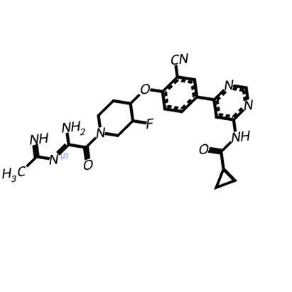 CC(=N)/N=C(\N)C(=O)N1CCC(Oc2ccc(-c3cc(NC(=O)C4CC4)ncn3)cc2C#N)C(F)C1